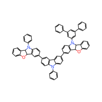 c1ccc(-c2cc(-c3ccccc3)cc(N3c4ccc(-c5ccc6c(c5)c5cc(-c7ccc8c(c7)C7Oc9ccccc9C7N8c7ccccc7)ccc5n6-c5ccccc5)cc4C4Oc5ccccc5C43)c2)cc1